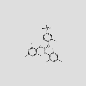 Cc1cc(C)c(OB(Oc2ccc([N+](C)(C)C)cc2C)Oc2c(C)cc(C)cc2C)c(C)c1